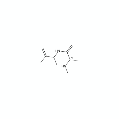 C=C(C)C(C)NC(=C)[C@H](C)NC